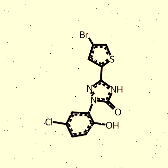 O=c1[nH]c(-c2cc(Br)cs2)nn1-c1cc(Cl)ccc1O